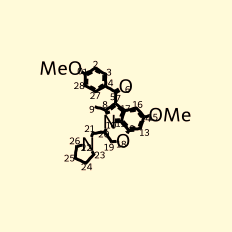 COc1ccc(C(=O)c2c(C)n3c4c(cc(OC)cc24)OCC3CN2CCCC2)cc1